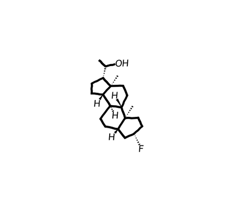 CC(O)[C@H]1CC[C@H]2[C@@H]3CC[C@H]4C[C@@H](F)CC[C@]4(C)[C@H]3CC[C@]12C